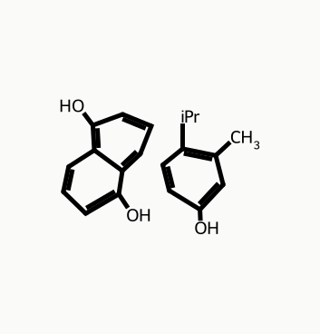 Cc1cc(O)ccc1C(C)C.Oc1cccc2c(O)cccc12